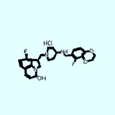 Cl.OC1C=Cc2ccc(F)c3c2N1CC3CN1CCC(NCc2ccc3c(c2F)OCCO3)CC1